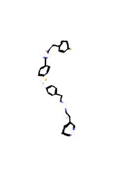 O=S(=O)(Nc1ccc(CCNC[C@H](O)c2cccnc2)cc1)c1ccc(-c2noc(Cc3ccc(F)cc3)n2)cc1